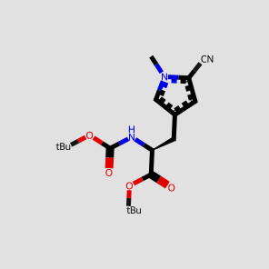 Cn1cc(C[C@H](NC(=O)OC(C)(C)C)C(=O)OC(C)(C)C)cc1C#N